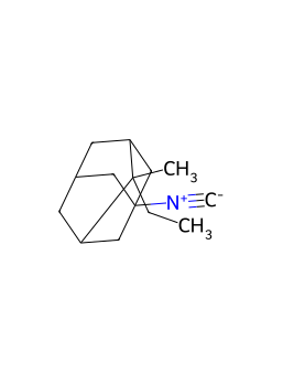 [C-]#[N+]C12CC3CC(C1)C(C)(CC)C(C3)C2